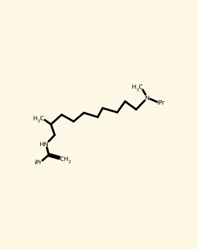 C=C(NCC(C)CCCCCCCCN(C)C(C)C)C(C)C